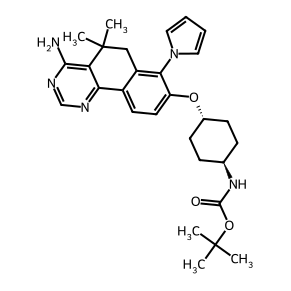 CC(C)(C)OC(=O)N[C@H]1CC[C@H](Oc2ccc3c(c2-n2cccc2)CC(C)(C)c2c(N)ncnc2-3)CC1